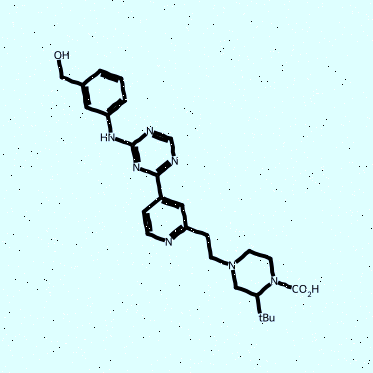 CC(C)(C)C1CN(CCc2cc(-c3ncnc(Nc4cccc(CO)c4)n3)ccn2)CCN1C(=O)O